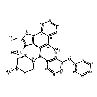 CCOC(=O)c1c(C)oc2c1c(C(c1ccnc(Oc3ccccc3)c1)N1CCN(C)CC1)c(O)c1ccccc12